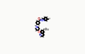 CCCCc1cc(OC2CCN(C[C@H]3CC[C@H](C(=O)NCc4ccc(C)cc4)CC3)CC2)c2ncccc2c1